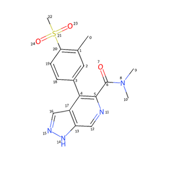 Cc1cc(-c2c(C(=O)N(C)C)ncc3[nH]ncc23)ccc1S(C)(=O)=O